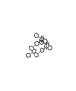 c1ccc(-c2c3cccc(-c4ccc(-n5c(-c6ccccc6)nc6ccccc65)cc4)c3cc3c(-c4ccc(-n5c(-c6ccccc6)nc6ccccc65)cc4)cccc23)cc1